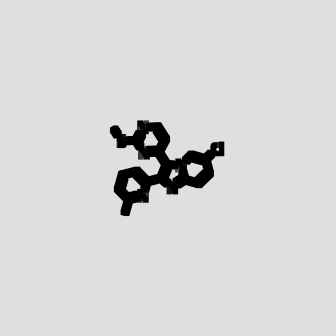 CSc1nccc(-c2c(-c3cccc(C)n3)nc3ccc(Cl)cn23)n1